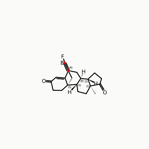 C[C@]12CC[C@H]3[C@@H](C[C@@H](Br)C4=CC(=O)CC[C@@]43CC#CF)[C@@H]1CCC2=O